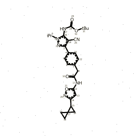 CC(C)n1nc(-c2ccc(CC(=O)Nc3cc(C4CC45CC5)no3)cc2)c(C#N)c1NC(=O)OC(C)(C)C